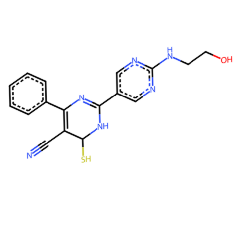 N#CC1=C(c2ccccc2)N=C(c2cnc(NCCO)nc2)NC1S